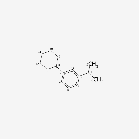 CC(C)c1cccc([C]2CCCCC2)c1